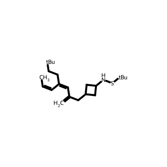 C=C(/C=C(\C=C/C)CCC(C)(C)C)CC1CC(NSC(C)(C)C)C1